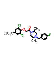 CCOC(=O)c1cc(Cl)c(OCC(=O)N2C[C@@H](C)N(Cc3ccc(F)cc3)C[C@@H]2C)c(Cl)c1